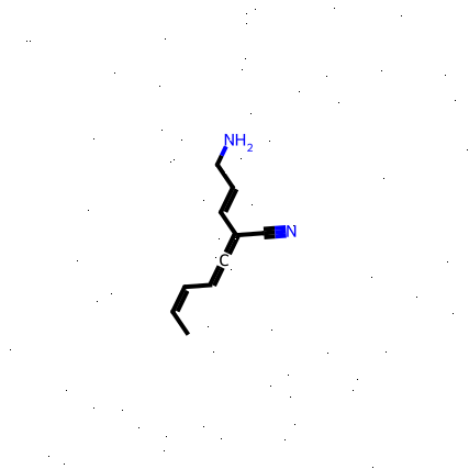 C/C=C\C=C=C(C#N)/C=C/CN